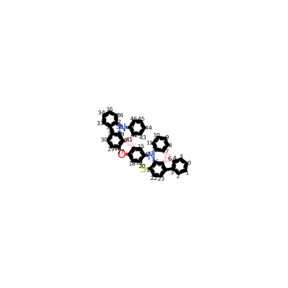 c1ccc2c(c1)B1c3ccccc3N3c4cc5c(cc4Sc4ccc-2c1c43)Oc1ccc2c3ccccc3n3c2c1B5c1ccccc1-3